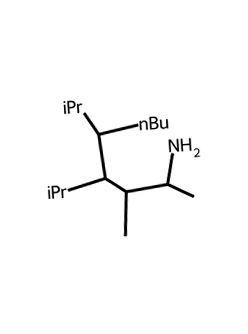 CCCCC(C(C)C)C(C(C)C)C(C)C(C)N